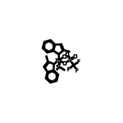 CC1=Cc2ccccc2[CH]1[Zr]([Cl])([O]S(=O)(=O)C(F)(F)F)([CH]1C(C)=Cc2ccccc21)=[Si](C)C